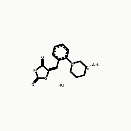 Cl.N[C@@H]1CCCN(c2ccccc2C=C2SC(=O)NC2=O)C1